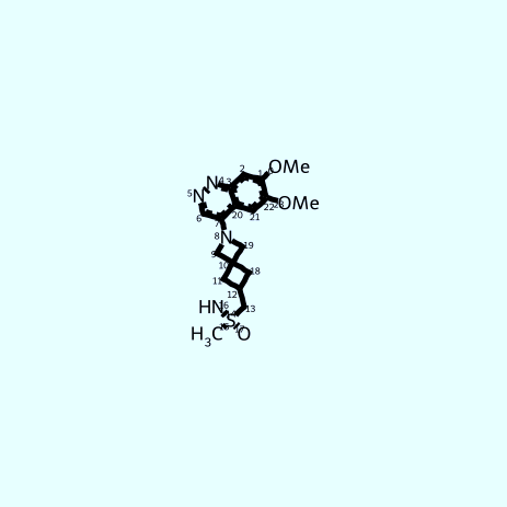 COc1cc2nncc(N3CC4(CC(CS(C)(=N)=O)C4)C3)c2cc1OC